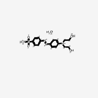 NS(=O)(=O)c1ccc(N=Nc2ccc(N(CCO)CCO)cc2)cc1.O